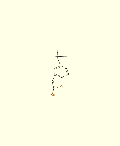 CC(C)(C)c1ccc2sc(S)cc2c1